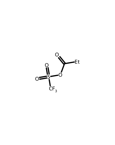 CCC(=O)OS(=O)(=O)C(F)(F)F